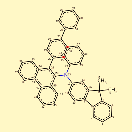 CC1(C)c2ccccc2-c2ccc(N(c3ccccc3)c3c(-c4ccc(-c5ccccc5)cc4)c4ccccc4c4ccccc34)cc21